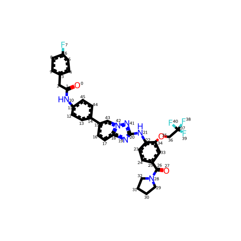 O=C(Cc1ccc(F)cc1)Nc1ccc(-c2ccc3nc(Nc4ccc(C(=O)N5CCCC5)cc4OCC(F)(F)F)nn3c2)cc1